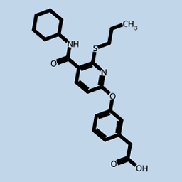 CCCSc1nc(Oc2cccc(CC(=O)O)c2)ccc1C(=O)NC1CCCCC1